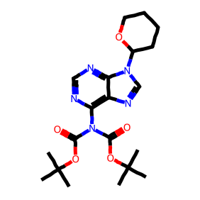 CC(C)(C)OC(=O)N(C(=O)OC(C)(C)C)c1ncnc2c1ncn2C1CCCCO1